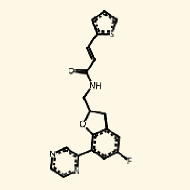 O=C(C=Cc1cccs1)NCC1Cc2cc(F)cc(-c3cnccn3)c2O1